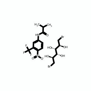 CC(C)C(=O)Nc1ccc([N+](=O)[O-])c(C(F)(F)F)c1.O[C@@H]([C@H](O)[C@H](O)CBr)[C@H](O)CBr